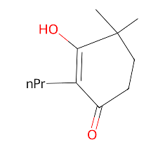 CCCC1=C(O)C(C)(C)CCC1=O